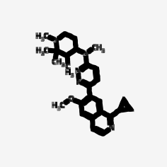 COc1cc2ccnc(C3CC3)c2cc1-c1ccc(N(C)C2CCN(C)C(C)(C)C2C)nn1